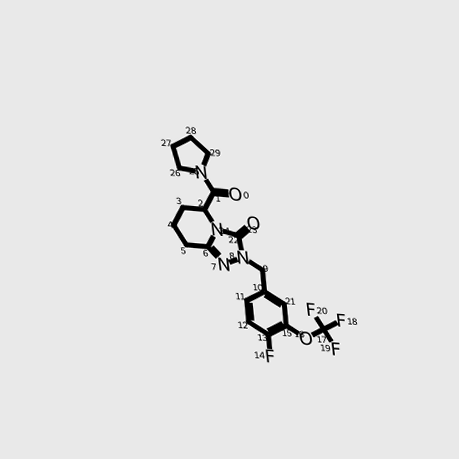 O=C(C1CCCc2nn(Cc3ccc(F)c(OC(F)(F)F)c3)c(=O)n21)N1CCCC1